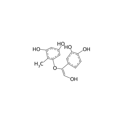 Cc1c(O)cc(O)cc1O/C(=C/O)c1ccc(O)c(O)c1